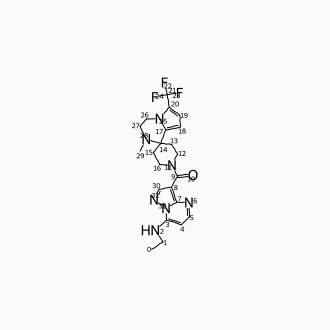 CCNc1ccnc2c(C(=O)N3CCC4(CC3)c3ccc(C(F)(F)F)n3CCN4C)cnn12